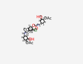 CC(=O)Oc1ccc(/C=C/C(=O)Oc2ccc(C/C(=C\c3ccc(OC(C)=O)c(O)c3)C(=O)O)cc2Cl)cc1O